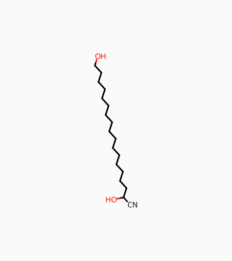 N#CC(O)CCCCCCCCCCCCCCCCO